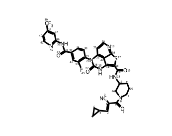 N#C/C(=C\C1CC1)C(=O)N1CCCC(NC(=O)c2sc3nccc4c3c2NC(=O)N4c2ccc(C(=O)Nc3cc(C(F)(F)F)ccn3)cc2F)C1